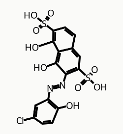 O=S(=O)(O)c1cc2ccc(S(=O)(=O)O)c(O)c2c(O)c1N=Nc1cc(Cl)ccc1O